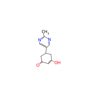 Cc1ncc(C2CC(=O)C=C(O)C2)cn1